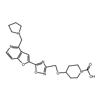 O=C(O)N1CCC(OCc2noc(-c3cc4c(CN5CCCC5)nccc4o3)n2)CC1